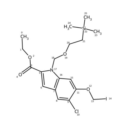 CCOC(=O)c1cc2cc(Cl)c(OCI)cc2n1COCC[Si](C)(C)C